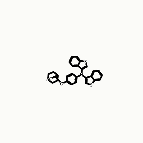 c1ccc2c(N(c3ccc(OC4CN5CCC4CC5)cc3)c3csc4ccccc34)csc2c1